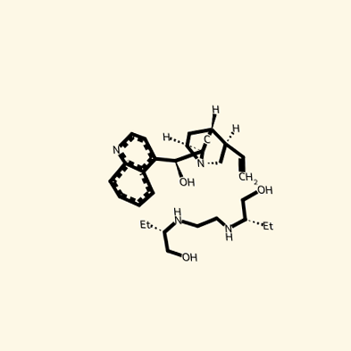 C=C[C@H]1C[N@]2CC[C@H]1C[C@@H]2[C@@H](O)c1ccnc2ccccc12.CC[C@@H](CO)NCCN[C@@H](CC)CO